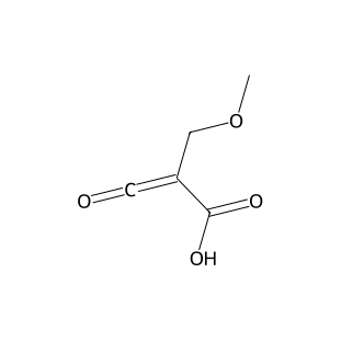 COCC(=C=O)C(=O)O